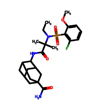 CCN(C(C)(C)C(=O)NC1C2CC3CC1CC(C(N)=O)(C3)C2)S(=O)(=O)c1c(F)cccc1OC